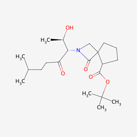 CC(C)CCC(=O)[C@H]([C@@H](C)O)N1CC2(CCCC2C(=O)OC(C)(C)C)C1=O